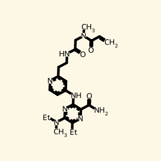 C=CC(=O)N(C)CC(=O)NCCc1cc(Nc2nc(N(C)CC)c(CC)nc2C(N)=O)ccn1